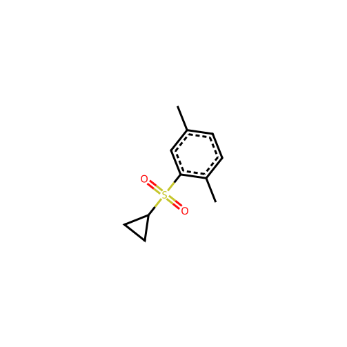 Cc1ccc(C)c(S(=O)(=O)C2CC2)c1